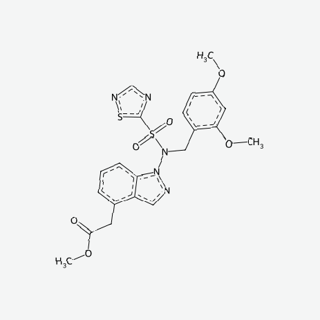 COC(=O)Cc1cccc2c1cnn2N(Cc1ccc(OC)cc1OC)S(=O)(=O)c1ncns1